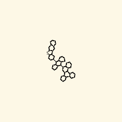 c1ccc2cc3c(cc2c1)sc1ccc(-c2c4ccccc4c(-c4cc5c6ccccc6c6ccccc6c5c5ccccc45)c4ccccc24)cc13